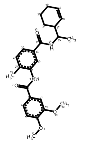 COc1ccc(C(=O)Nc2cc(C(=O)NC(C)C3C=CCCC3)ccc2C)cc1OC